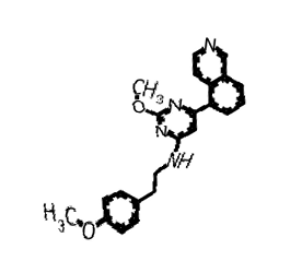 COc1ccc(CCNc2cc(-c3cccc4cnccc34)nc(OC)n2)cc1